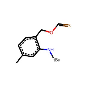 Cc1ccc(COC=S)c(NC(C)(C)C)c1